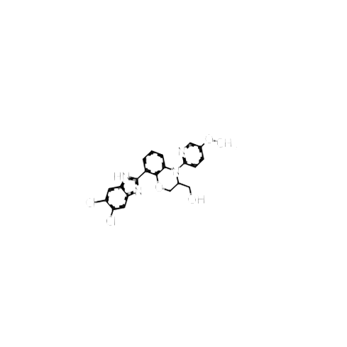 COc1ccc(N2c3cccc(-c4nc5cc(Cl)c(Cl)cc5[nH]4)c3OCC2CO)nc1